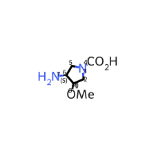 CO[C@@H]1CN(C(=O)O)C[C@@H]1N